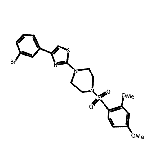 COc1ccc(S(=O)(=O)N2CCN(c3nc(-c4cccc(Br)c4)cs3)CC2)c(OC)c1